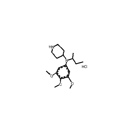 CCC(C)N(c1cc(OC)c(OC)c(OC)c1)C1CCNCC1.Cl